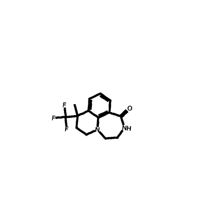 CC1(C(F)(F)F)CCN2CCNC(=O)c3cccc1c32